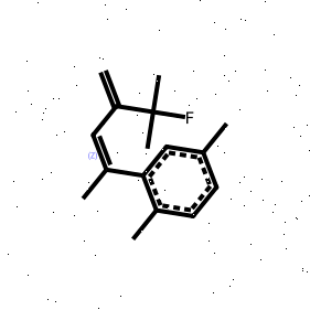 C=C(/C=C(/C)c1cc(C)ccc1C)C(C)(C)F